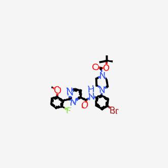 COc1cccc(F)c1-c1nccc(C(=O)Nc2ccc(Br)cc2N2CCN(C(=O)OC(C)(C)C)CC2)n1